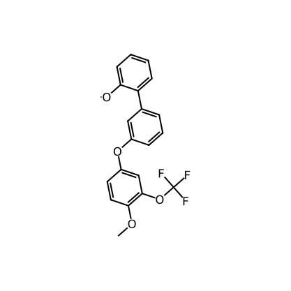 COc1ccc(Oc2cccc(-c3ccccc3[O])c2)cc1OC(F)(F)F